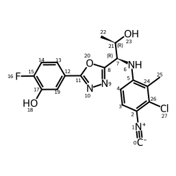 [C-]#[N+]c1ccc(N[C@@H](c2nnc(-c3ccc(F)c(O)c3)o2)[C@@H](C)O)c(C)c1Cl